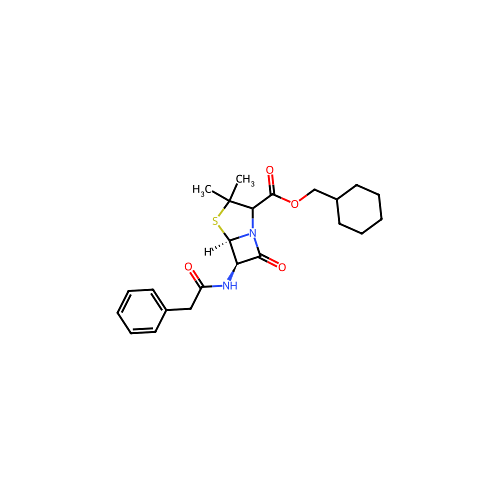 CC1(C)S[C@@H]2[C@H](NC(=O)Cc3ccccc3)C(=O)N2C1C(=O)OCC1CCCCC1